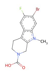 Cn1c2c(c3cc(F)c(Br)cc31)CCN(C(=O)O)C2